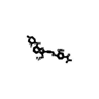 COc1cc(C(=O)N(C)C)ccc1NCC#Cc1nc2c(N[C@@H]3CCN(C)C[C@@H]3F)cccn2c1SC(F)(F)F